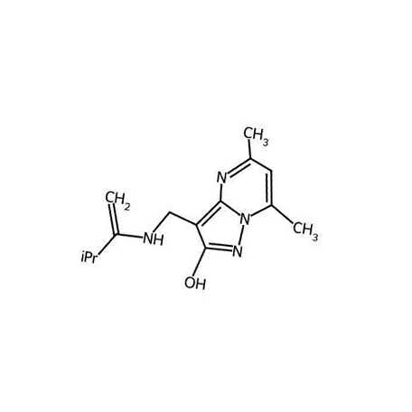 C=C(NCc1c(O)nn2c(C)cc(C)nc12)C(C)C